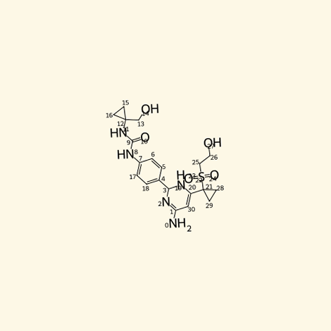 NC1=NC(c2ccc(NC(=O)NC3(CO)CC3)cc2)NC(C2(S(=O)(=O)CCO)CC2)=C1